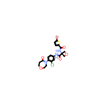 O=C(NC1(C(=O)Nc2ccc(N3CCOCCC3=O)c(Cl)c2)COC1)c1ccc(Br)s1